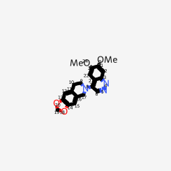 COc1cc2nncc(N3CCc4cc5c(cc4C3)OCO5)c2cc1OC